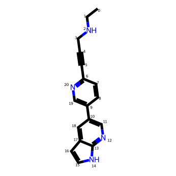 CCNCC#Cc1ccc(-c2cnc3[nH]ccc3c2)cn1